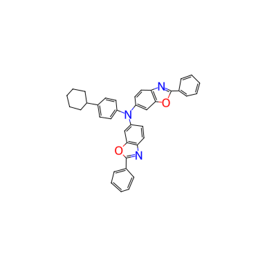 c1ccc(-c2nc3ccc(N(c4ccc(C5CCCCC5)cc4)c4ccc5nc(-c6ccccc6)oc5c4)cc3o2)cc1